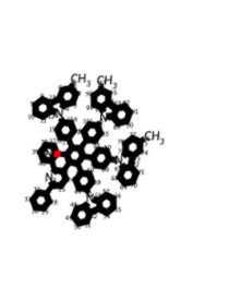 Cc1ccc2c(c1)c1ccccc1n2-c1ccc(-c2c(C#N)c(-c3ccc(-c4ccccc4)nc3-c3ccccc3)c(-c3ccc(-n4c5ccccc5c5ccccc54)cc3)c(-c3ccc(-n4c5ccccc5c5cc(C)ccc54)cc3)c2-c2ccc(-n3c4ccccc4c4cc(C)ccc43)cc2)cc1